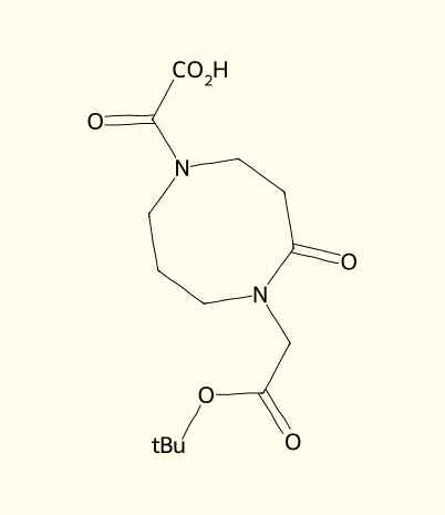 CC(C)(C)OC(=O)CN1CCCN(C(=O)C(=O)O)CCC1=O